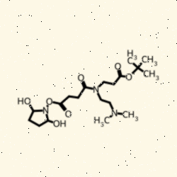 CN(C)CCN(CCC(=O)OC(C)(C)C)C(=O)CCC(=O)ON1C(O)CCC1O